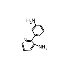 Nc1cccc(-c2ncccc2N)c1